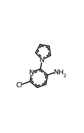 Nc1ccc(Cl)nc1-n1cccc1